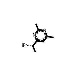 Cc1cc([C@H](C)C(C)C)nc(C)n1